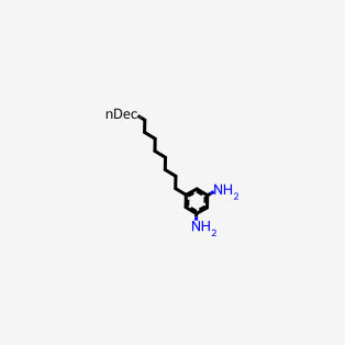 CCCCCCCCCCCCCCCCCCc1cc(N)cc(N)c1